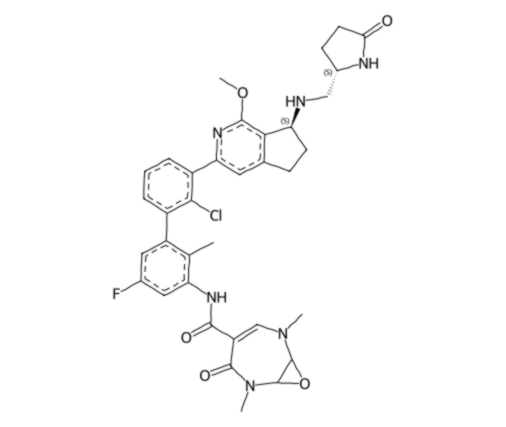 COc1nc(-c2cccc(-c3cc(F)cc(NC(=O)C4=CN(C)C5OC5N(C)C4=O)c3C)c2Cl)cc2c1[C@@H](NC[C@@H]1CCC(=O)N1)CC2